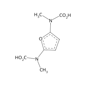 CN(C(=O)O)c1ccc(N(C)C(=O)O)o1